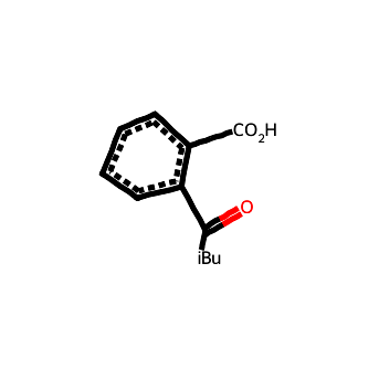 CCC(C)C(=O)c1ccccc1C(=O)O